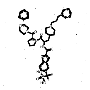 O=C(NC(CC1CCN(CCCc2ccccc2)CC1)C(=O)N1CCC[C@H]1C(=O)N1CCO[C@H](c2ccccc2)C1)c1cc2cc(C(F)(F)P(=O)(O)O)ccc2s1